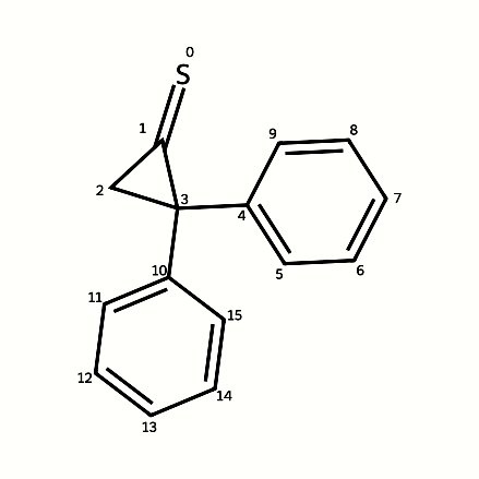 S=C1CC1(c1ccccc1)c1ccccc1